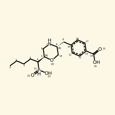 CCCCC([C@H]1CN[C@H](Cc2ccc(C(=O)O)cc2)CO1)[PH](=O)O